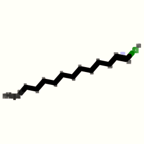 CCCCCCCCCCCCCCCCC/C=C/Cl